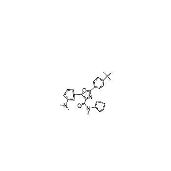 CN(C)c1cccc(-c2oc(-c3ccc(C(C)(C)C)cc3)nc2C(=O)N(C)c2ccccc2)c1